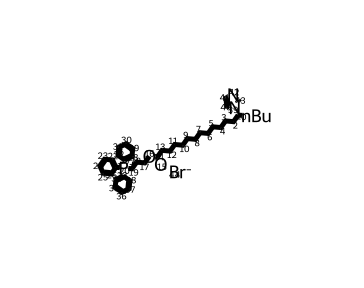 CCCCC(CCCCCCCCCCCCC(=O)OCCC[P+](c1ccccc1)(c1ccccc1)c1ccccc1)n1ccnc1.[Br-]